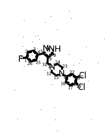 Fc1ccc(-c2n[nH]cc2CN2CCN(c3ccc(Cl)c(Cl)c3)CC2)cc1